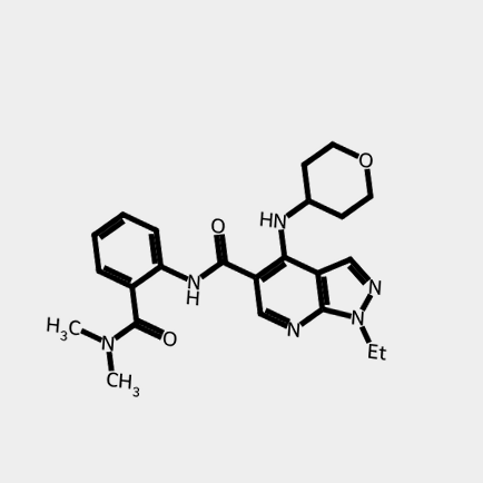 CCn1ncc2c(NC3CCOCC3)c(C(=O)Nc3ccccc3C(=O)N(C)C)cnc21